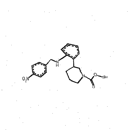 CC(C)(C)OC(=O)N1CCCC(c2ccccc2NCc2ccc([N+](=O)[O-])cc2)C1